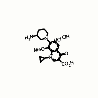 COc1c(N2CCCC(N)C2)ccc2c(=O)c(C(=O)O)cn(C3CC3)c12.Cl.Cl